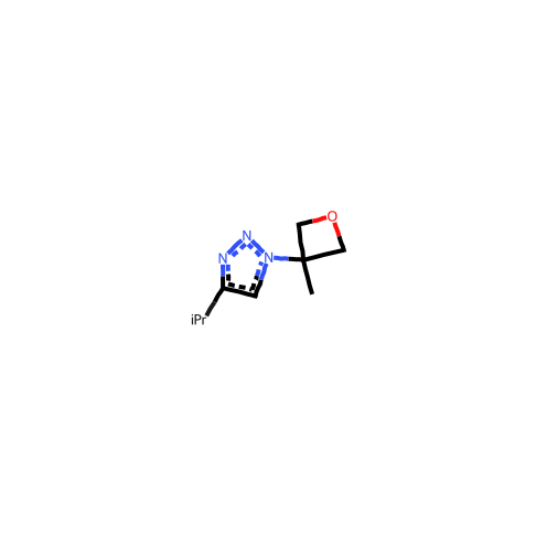 CC(C)c1cn(C2(C)COC2)nn1